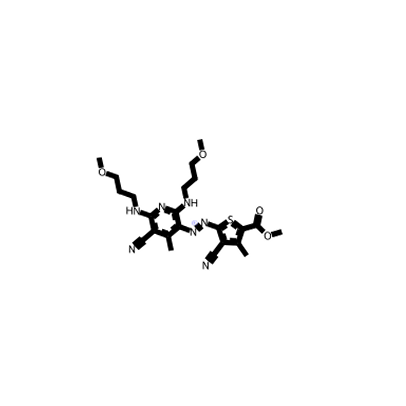 COCCCNc1nc(NCCCOC)c(/N=N/c2sc(C(=O)OC)c(C)c2C#N)c(C)c1C#N